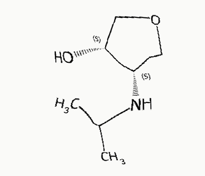 CC(C)N[C@H]1COC[C@H]1O